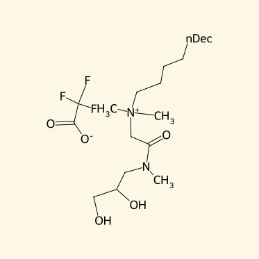 CCCCCCCCCCCCCC[N+](C)(C)CC(=O)N(C)CC(O)CO.O=C([O-])C(F)(F)F